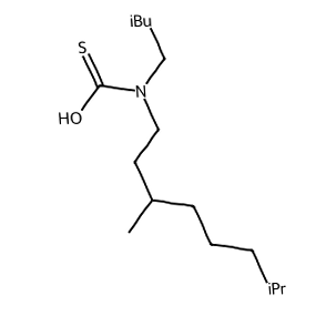 CCC(C)CN(CCC(C)CCCC(C)C)C(O)=S